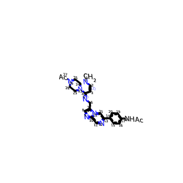 C=N/C=C\C(=N/Cc1cnc2cnc(-c3ccc(NC(C)=O)cc3)cn12)N1CCN(C(C)=O)CC1